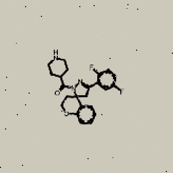 O=C(C1CCNCC1)N1N=C(c2cc(F)ccc2F)CC12CCOc1ccccc12